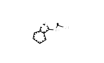 NC(=O)Nc1nsc2ccccc12